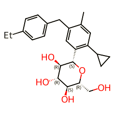 CCc1ccc(Cc2cc([C@@H]3O[C@H](CO)[C@@H](O)[C@H](O)[C@H]3O)c(C3CC3)cc2C)cc1